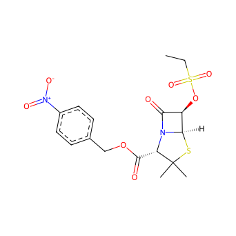 CCS(=O)(=O)O[C@@H]1C(=O)N2[C@@H]1SC(C)(C)[C@@H]2C(=O)OCc1ccc([N+](=O)[O-])cc1